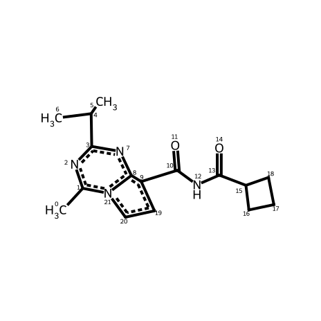 Cc1nc(C(C)C)nc2c(C(=O)NC(=O)C3CCC3)ccn12